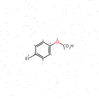 CCc1ccc(OC(=O)O)cc1